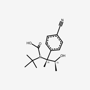 C[C@H](O)[C@@](C)(c1ccc(C#N)cc1)N(C(=O)O)C(C)(C)C